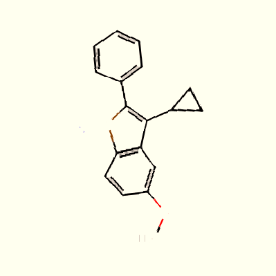 COc1ccc2sc(-c3ccccc3)c(C3CC3)c2c1.N